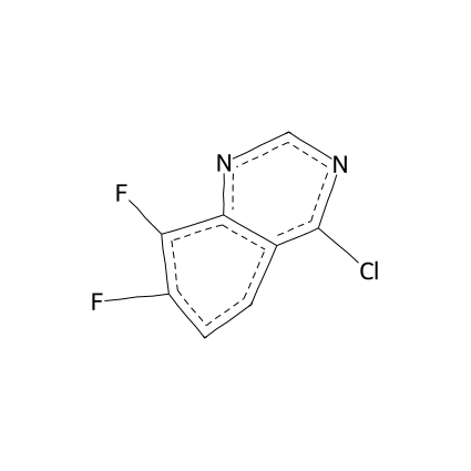 Fc1ccc2c(Cl)ncnc2c1F